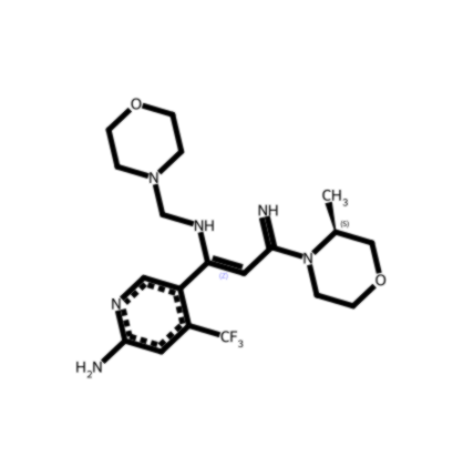 C[C@H]1COCCN1C(=N)/C=C(\NCN1CCOCC1)c1cnc(N)cc1C(F)(F)F